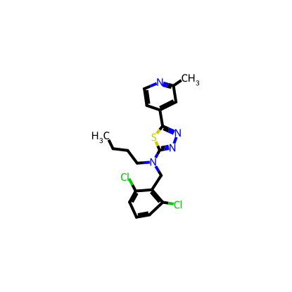 CCCCN(Cc1c(Cl)cccc1Cl)c1nnc(-c2ccnc(C)c2)s1